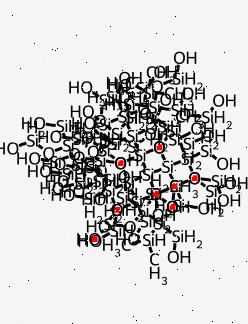 CO[Si]([SiH2]O)([SiH](C)C)[Si](O[SiH2]O)(O[Si]([Si](O[SiH](C)O[Si](C)(C)C)(O[Si](O[Si](O[SiH2]O)([SiH2]O)[SiH2]O)([Si](O[SiH2]O)([SiH2]O)[SiH2]O)[Si](O[SiH2]O)([SiH2]O)[SiH2]O)[Si](O[Si](O[SiH2]O)([SiH2]O)[SiH2]O)([Si](C)(C)O[SiH2]O)[Si](O[SiH2]O)([SiH2]O)[SiH2]O)([Si](O[Si](O[SiH2]O)([SiH2]O)[SiH2]O)([Si](O[SiH2]O)([SiH2]O)[SiH2]O)[Si](O[SiH2]O)([SiH2]O)[SiH2]O)[Si](O[Si](O[SiH2]O)([SiH2]O)[SiH2]O)([Si](O[SiH2]O)([SiH2]O)[SiH2]O)[Si](O[SiH2]O)([SiH2]O)[SiH2]O)[SiH2]O